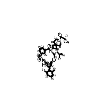 CO[C@@H](C)C(=O)N1CCC2(CC1)CC(N1C(=O)c3cccc(c3)S(=O)(=O)Nc3nc(cc(-c4c(C)cccc4C)n3)OC[C@H]1CC(C)C)C2